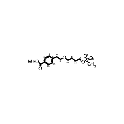 COC(=O)c1ccc(CCOCCCCOS(C)(=O)=O)cc1